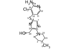 CC1CCN(c2ncc(Sc3ccnc(N)c3Cl)nc2CO)CC1